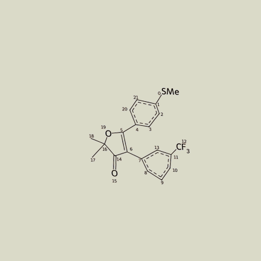 CSc1ccc(C2=C(c3cccc(C(F)(F)F)c3)C(=O)C(C)(C)O2)cc1